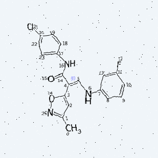 Cc1cc(/C(=C\Nc2cccc(F)c2)C(=O)Nc2ccc(Cl)cc2)on1